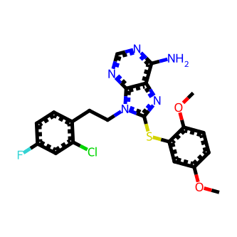 COc1ccc(OC)c(Sc2nc3c(N)ncnc3n2CCc2ccc(F)cc2Cl)c1